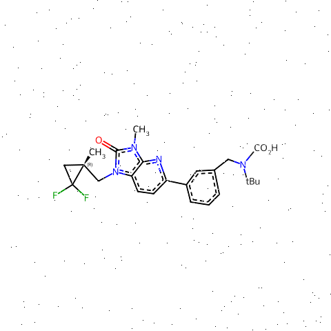 Cn1c(=O)n(C[C@@]2(C)CC2(F)F)c2ccc(-c3cccc(CN(C(=O)O)C(C)(C)C)c3)nc21